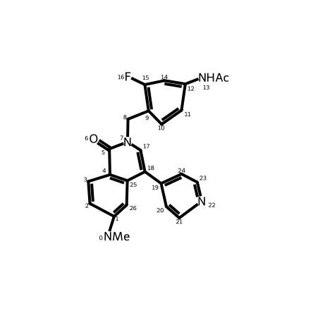 CNc1ccc2c(=O)n(Cc3ccc(NC(C)=O)cc3F)cc(-c3ccncc3)c2c1